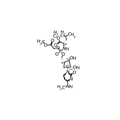 CNc1ccn([C@@H]2S[C@H](COP(=O)(N[C@@H](CC(C)C)C(=O)OC)OCC(=O)OC)[C@@H](O)[C@@H]2O)c(=O)n1